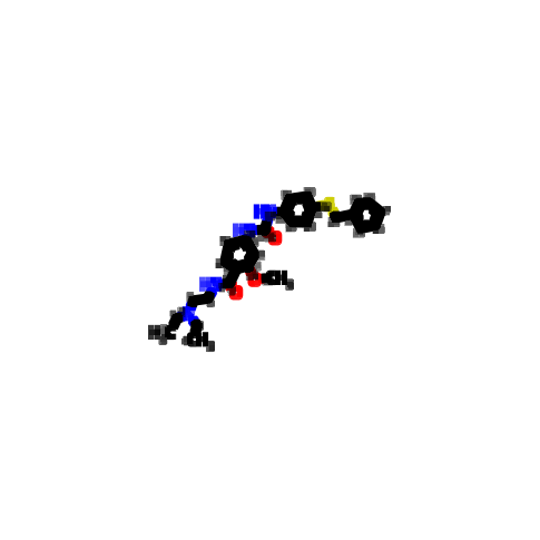 CCN(CC)CCNC(=O)c1ccc(NC(=O)Nc2ccc(SCc3ccccc3)cc2)cc1OC